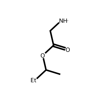 CCC(C)OC(=O)C[NH]